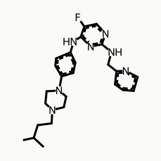 CC(C)CCN1CCN(c2ccc(Nc3nc(NCc4ccccn4)ncc3F)cc2)CC1